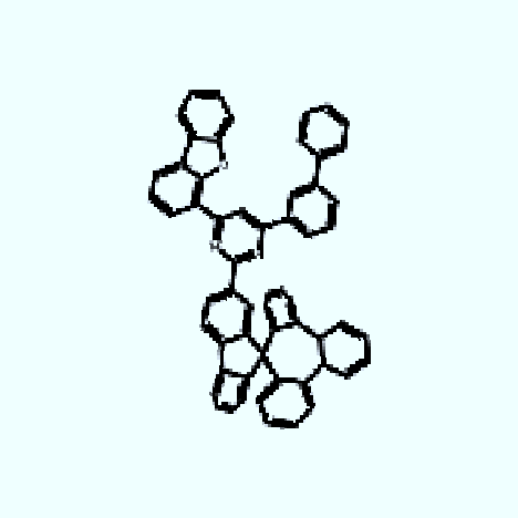 C1=CC2c3ccccc3C3(c4ccccc4-c4ccc(-c5nc(-c6cccc(-c7ccccc7)c6)cc(-c6cccc7c6oc6ccccc67)n5)cc43)c3ccccc3C2C=C1